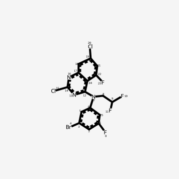 Fc1cc(Br)cc(N(CC(F)F)c2nc(Cl)nc3cc(Cl)cc(F)c23)c1